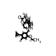 [2H]N1C(=O)OC2(CCN(Cc3cc(C4CC4)c(I)cc3OCC)C([2H])([2H])C2([2H])[2H])C1([2H])[2H]